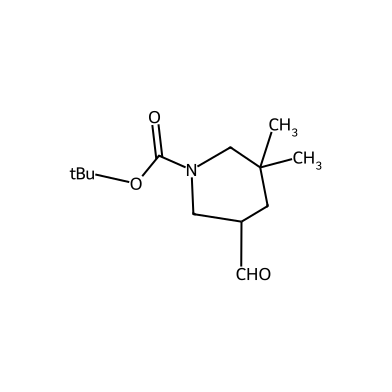 CC1(C)CC(C=O)CN(C(=O)OC(C)(C)C)C1